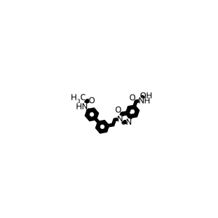 CC(=O)Nc1ccc(-c2cccc(CCn3cnc4ccc(C(=O)NO)cc4c3=O)c2)cc1